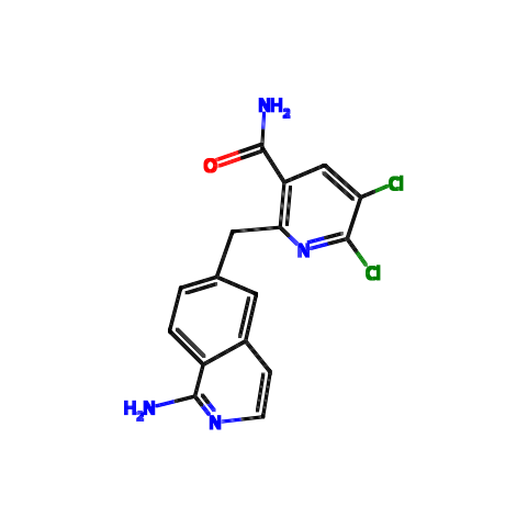 NC(=O)c1cc(Cl)c(Cl)nc1Cc1ccc2c(N)nccc2c1